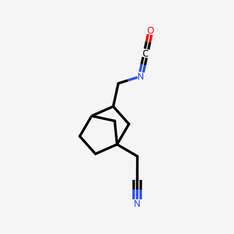 N#CCC12CCC(C1)C(CN=C=O)C2